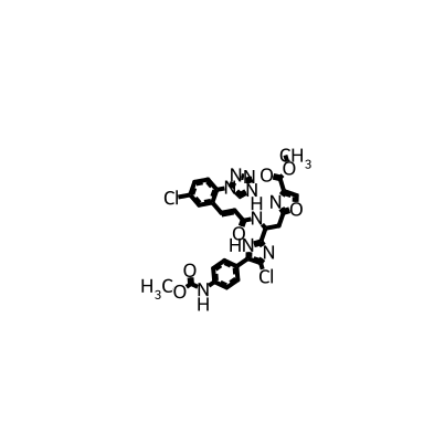 COC(=O)Nc1ccc(-c2[nH]c(C(Cc3nc(C(=O)OC)co3)NC(=O)C=Cc3cc(Cl)ccc3-n3cnnn3)nc2Cl)cc1